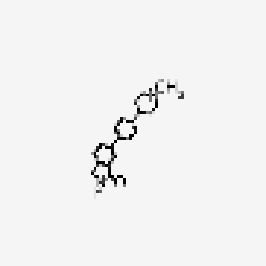 CN1CCC(c2ccc(-c3ccc4c(c3)C(=O)N(F)C4)cc2)CC1